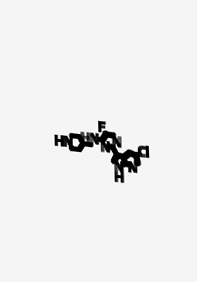 Fc1cnc(-c2c[nH]c3ncc(Cl)cc23)nc1NCC1CCNCC1